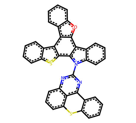 c1ccc2c(c1)Sc1cccc3nc(-n4c5ccccc5c5c6oc7ccccc7c6c6c7ccccc7sc6c54)nc-2c13